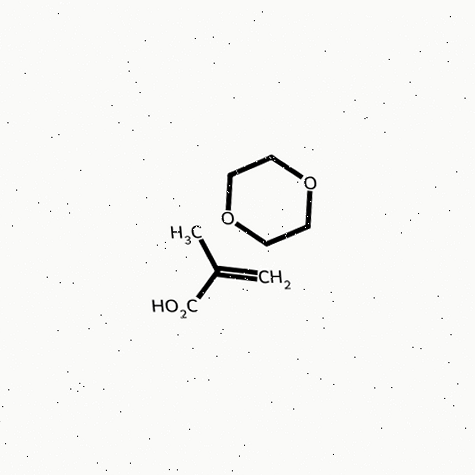 C1COCCO1.C=C(C)C(=O)O